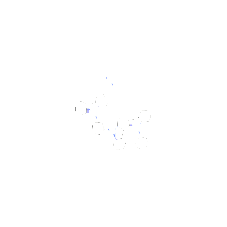 N#Cc1ccc2c(c1)c1ccccc1n2-c1cccc(-n2c3ccccc3c3c2ccc2c4ccccc4n(-c4ccccc4)c23)c1